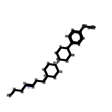 CCCOc1ccc(C2CCC([C@H]3CC[C@H](CC/C=C/CCF)CC3)CC2)cc1